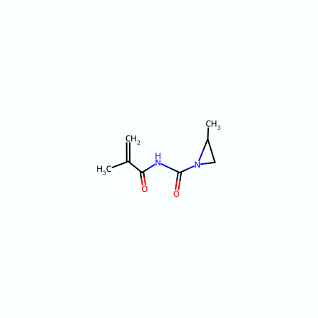 C=C(C)C(=O)NC(=O)N1CC1C